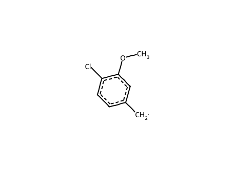 [CH2]c1ccc(Cl)c(OC)c1